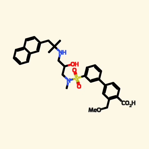 COCc1cc(-c2cccc(S(=O)(=O)N(C)CC(O)CNC(C)(C)Cc3ccc4ccccc4c3)c2)ccc1C(=O)O